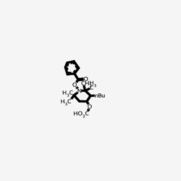 CCCCC1C(OC(=O)O)CC(C)(C)N(OC(=O)c2ccccc2)C1(C)C